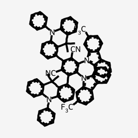 CC1(C)c2ccccc2N(c2ccccc2)c2cccc(-c3c(C#N)c(-c4cccc5c4C(C)(C)c4ccccc4N5c4ccccc4)c(-n4c5ccccc5c5ccc(C(F)(F)F)cc54)c(-n4c5ccccc5c5ccc(C(F)(F)F)cc54)c3C#N)c21